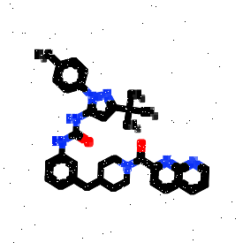 Cc1ccc(-n2nc(C(C)(C)C)cc2NC(=O)Nc2cccc(CC3CCN(C(=O)c4ccc5cccnc5n4)CC3)c2)cc1